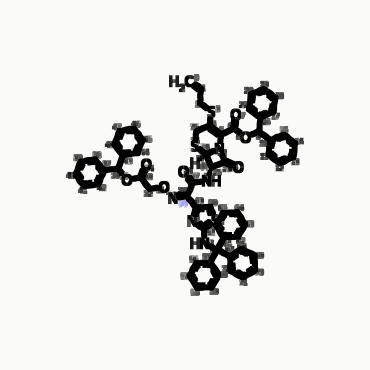 C=CCSC1=C(C(=O)OC(c2ccccc2)c2ccccc2)N2C(=O)[C@@H](NC(=O)/C(=N\OCC(=O)OC(c3ccccc3)c3ccccc3)c3csc(NC(c4ccccc4)(c4ccccc4)c4ccccc4)n3)[C@H]2SC1